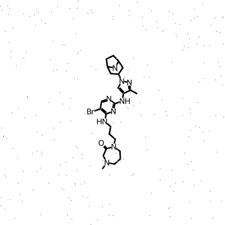 Cc1nn(C2CC3CCC(C2)N3C)cc1Nc1ncc(Br)c(NCCCN2CCCN(C)CC2=O)n1